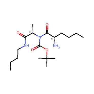 CCCCNC(=O)[C@H](C)N(C(=O)OC(C)(C)C)C(=O)[C@@H](N)CCCC